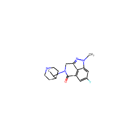 Cn1nc2c3c(cc(F)cc31)C(=O)N(C1CN3CCC1CC3)C2